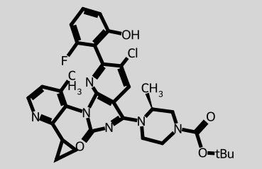 Cc1ccnc(C2CC2)c1-n1c(=O)nc(N2CCN(C(=O)OC(C)(C)C)C[C@@H]2C)c2cc(Cl)c(-c3c(O)cccc3F)nc21